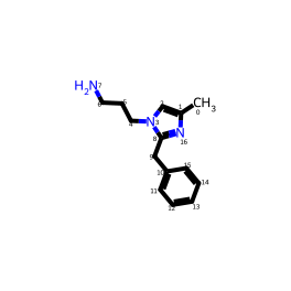 Cc1cn(CCCN)c(Cc2ccccc2)n1